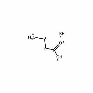 CCCC(=O)O.[KH]